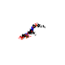 Cc1ccc(S(=O)(=O)Oc2ccc(/N=N/c3ccc(-c4ccc(/N=N/c5cc6ccc(S(=O)(=O)O)cc6cc5S(=O)(=O)O)cc4C)c(C)c3)cc2)cc1